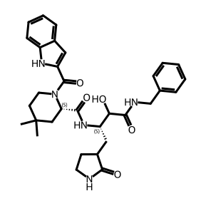 CC1(C)CCN(C(=O)c2cc3ccccc3[nH]2)[C@H](C(=O)N[C@@H](CC2CCNC2=O)C(O)C(=O)NCc2ccccc2)C1